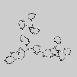 c1ccc(-c2ccccc2-c2ccccc2-c2ccc(N(c3ccc(-c4ccc5c6ccc7ccccc7c6n(-c6ccccc6)c5c4)cc3)c3ccc4c(c3)sc3ccccc34)cc2)cc1